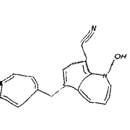 N#CC1=C2C(=CC=CN2O)S(Cc2ccccc2)=C1